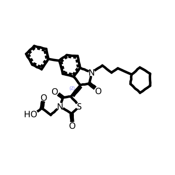 O=C(O)CN1C(=O)S/C(=C2\C(=O)N(CCCC3CCCCC3)c3ccc(-c4ccccc4)cc32)C1=O